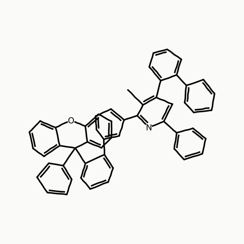 Cc1c(-c2ccccc2-c2ccccc2)cc(-c2ccccc2)nc1-c1cccc(-c2ccccc2C2(c3ccccc3)c3ccccc3Oc3ccccc32)c1